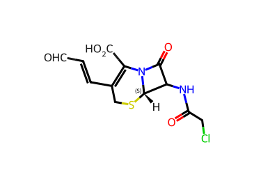 O=CC=CC1=C(C(=O)O)N2C(=O)C(NC(=O)CCl)[C@@H]2SC1